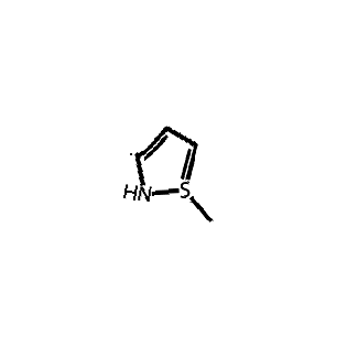 CS1=CC=[C]N1